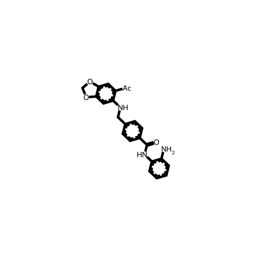 CC(=O)c1cc2c(cc1NCc1ccc(C(=O)Nc3ccccc3N)cc1)OCO2